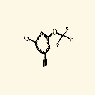 [C]#Cc1cc(Cl)cc(OC(F)(F)F)c1